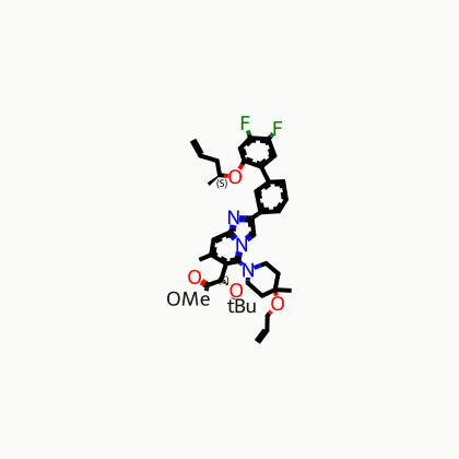 C=CCOC1(C)CCN(c2c([C@H](OC(C)(C)C)C(=O)OC)c(C)cc3nc(-c4cccc(-c5cc(F)c(F)cc5O[C@@H](C)CC=C)c4)cn23)CC1